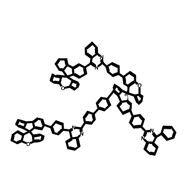 c1ccc(-c2nc(-c3ccc(-c4ccc5c(c4)[C@]4(c6ccccc6Oc6ccc(-c7ccc(-c8nc(-c9ccc%10c(c9)-c9ccccc9C%109c%10ccccc%10Oc%10ccccc%109)c9ccccc9n8)cc7)cc64)c4cccc(-c6ccc(-c7ccc(-c8nc(-c9ccc(-c%10ccc%11c(c%10)C%10(c%12ccccc%12Oc%12ccccc%12%10)c%10ccccc%10-%11)cc9)c9ccccc9n8)cc7)cc6)c4-5)cc3)nc3ccccc23)cc1